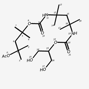 CC(=O)OC(C)(C)CC(C)(C)OC(=O)NC(C)(C)CC(C)(C)NC(=O)OC(CO)CO